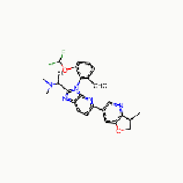 CCC(c1nc2ccc(-c3cnc4c(c3)OCC4C)nc2n1-c1c(C=O)cccc1OC(F)F)N(C)C